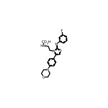 O=C(O)NCCn1c(-c2ccc(N3CCOCC3)cc2)csc1=Nc1cccc(F)c1